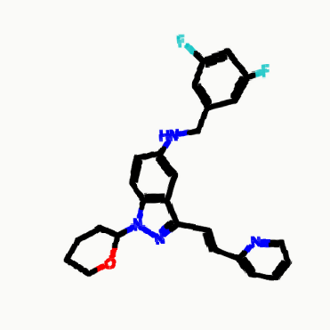 Fc1cc(F)cc(CNc2ccc3c(c2)c(/C=C/c2ccccn2)nn3C2CCCCO2)c1